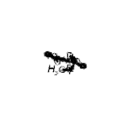 CCCCC(F)(F)CCC[C@H]1[C@H](OCc2ccccc2)CC(=O)[C@@H]1CCCCCCC(=O)OCc1ccccc1